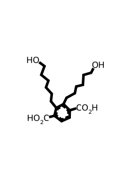 O=C(O)c1ccc(C(=O)O)c(CCCCCCO)c1CCCCCCO